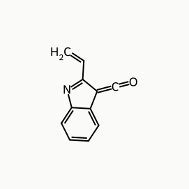 C=CC1=Nc2ccccc2C1=C=O